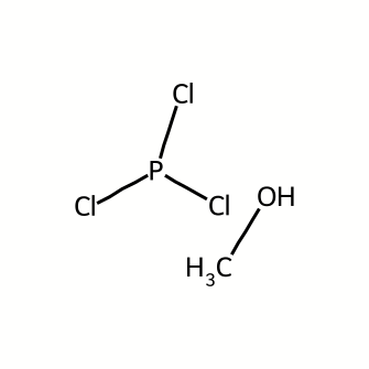 CO.ClP(Cl)Cl